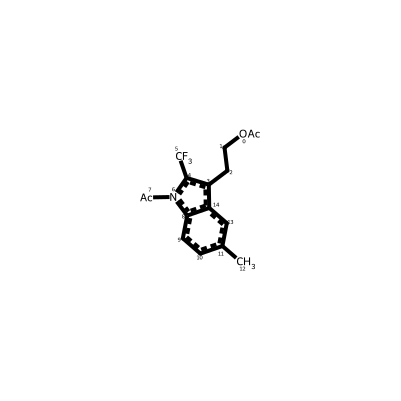 CC(=O)OCCc1c(C(F)(F)F)n(C(C)=O)c2ccc(C)cc12